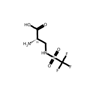 N[C@@H](CNS(=O)(=O)C(F)(F)F)C(=O)O